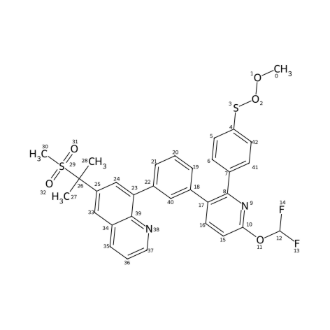 COOSc1ccc(-c2nc(OC(F)F)ccc2-c2cccc(-c3cc(C(C)(C)S(C)(=O)=O)cc4cccnc34)c2)cc1